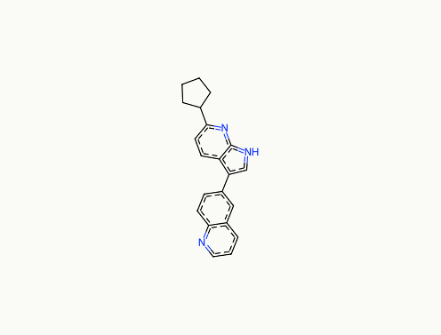 c1cnc2ccc(-c3c[nH]c4nc(C5CCCC5)ccc34)cc2c1